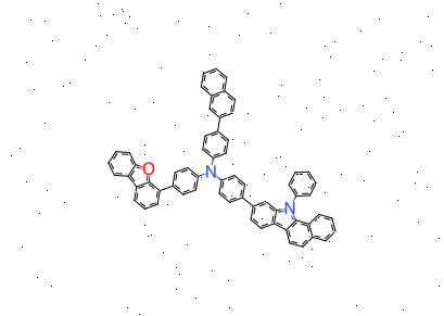 c1ccc(-n2c3cc(-c4ccc(N(c5ccc(-c6ccc7ccccc7c6)cc5)c5ccc(-c6cccc7c6oc6ccccc67)cc5)cc4)ccc3c3ccc4ccccc4c32)cc1